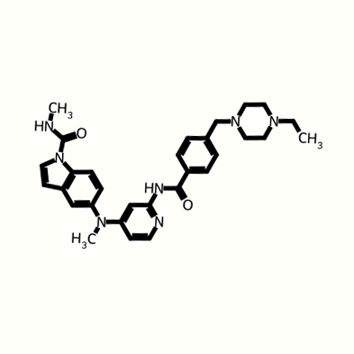 CCN1CCN(Cc2ccc(C(=O)Nc3cc(N(C)c4ccc5c(ccn5C(=O)NC)c4)ccn3)cc2)CC1